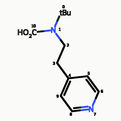 CC(C)(C)N(CCc1ccncc1)C(=O)O